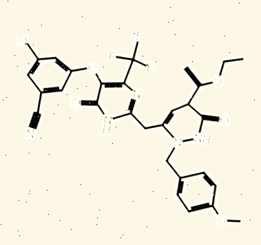 C=C(OCC)C1C=C(Cc2nc(C(F)(F)F)c(Oc3cc(Cl)cc(C#N)c3)c(=O)[nH]2)N(Cc2ccc(OC)cc2)NC1=O